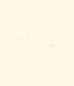 C1CCC2CCCCC2C1.CCCCCCCCC(C)=O